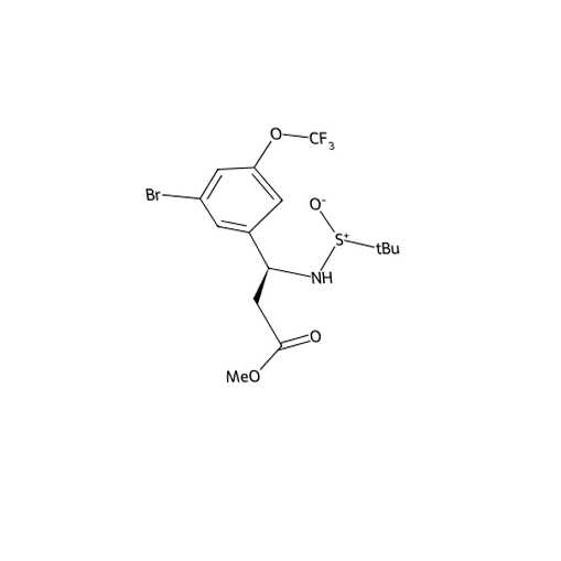 COC(=O)C[C@H](N[S+]([O-])C(C)(C)C)c1cc(Br)cc(OC(F)(F)F)c1